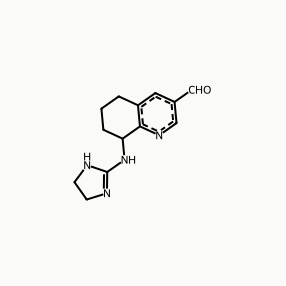 O=Cc1cnc2c(c1)CCCC2NC1=NCCN1